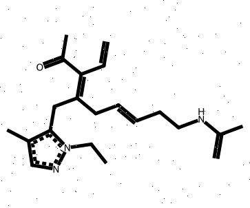 C=C/C(C(C)=O)=C(\CC=CCCNC(=C)C)Cc1c(C)cnn1CC